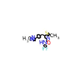 Cc1csc2c(Cc3ccc(-c4ccn(C)n4)cc3)cc(C(=O)NC3CC(F)(F)C3)nc12